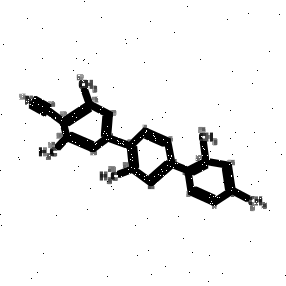 Cc1ccc(-c2ccc(-c3cc(C)c(C#N)c(C)c3)c(C)c2)c(C)c1